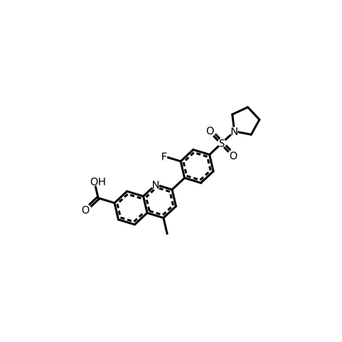 Cc1cc(-c2ccc(S(=O)(=O)N3CCCC3)cc2F)nc2cc(C(=O)O)ccc12